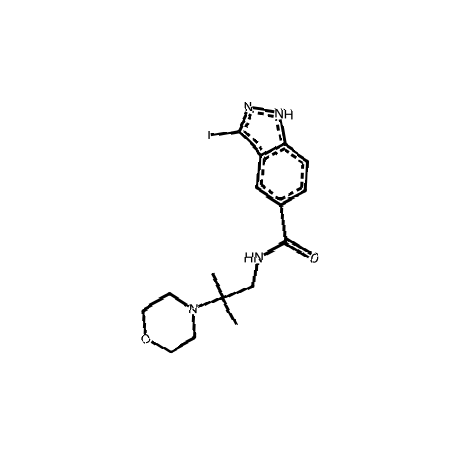 CC(C)(CNC(=O)c1ccc2[nH]nc(I)c2c1)N1CCOCC1